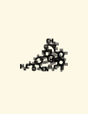 C=CC(=O)N1CCN(c2nc(O[C@H](C)C3CC3CC3CCCN3C)nc3c2CCN(c2cccc(F)c2C)C3)CC1CC#N